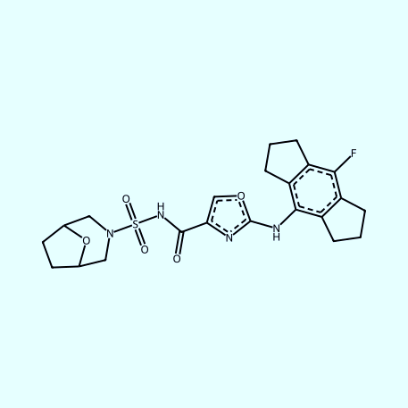 O=C(NS(=O)(=O)N1CC2CCC(C1)O2)c1coc(Nc2c3c(c(F)c4c2CCC4)CCC3)n1